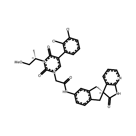 COC[C@H](C)n1c(=O)c(-c2cccc(Cl)c2Cl)cn(CC(=O)Nc2ccc3c(c2)C[C@@]2(C3)C(=O)Nc3ncccc32)c1=O